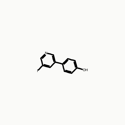 Oc1ccc(-c2cncc(I)c2)cc1